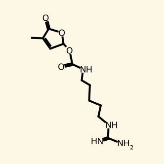 CC1=CC(OC(=O)NCCCCCNC(=N)N)OC1=O